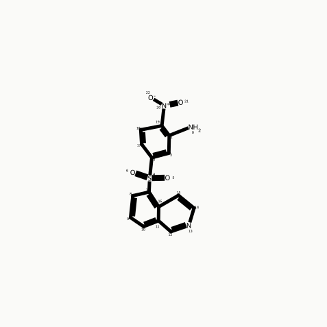 Nc1cc(S(=O)(=O)c2cccc3cnccc23)ccc1[N+](=O)[O-]